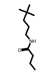 [CH2]CCC(=O)NCCCC(C)(C)C